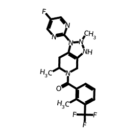 Cc1c(C(=O)N2CC3=C(CC2C)N(c2ncc(F)cn2)N(C)N3)cccc1C(F)(F)F